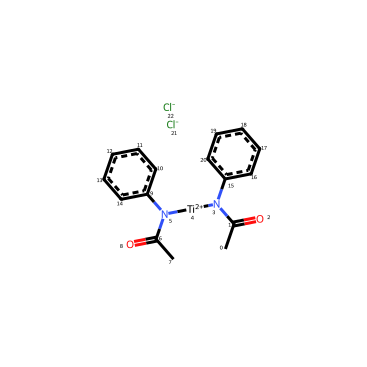 CC(=O)[N]([Ti+2][N](C(C)=O)c1ccccc1)c1ccccc1.[Cl-].[Cl-]